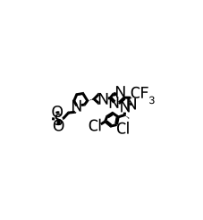 C[C@H](c1ccc(Cl)cc1Cl)n1nc(C(F)(F)F)c2ncc(N3CC([C@H]4CCCN(CCCS(C)(=O)=O)C4)C3)nc21